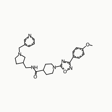 COc1ccc(-c2noc(N3CCC(C(=O)NCC4CCN(Cc5cccnc5)C4)CC3)n2)cc1